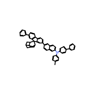 Cc1ccc(N(c2ccc(-c3ccccc3)cc2)c2ccc3cc(-c4ccc5c(c4)C4(c6cc(-c7ccccc7)ccc6-5)C5CC6CC(C5)CC4C6)ccc3c2)cc1